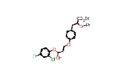 CCOC(=O)C(Cc1ccc(OCCC(O)Oc2ccc(Cl)cc2Cl)cc1)OC(C)C